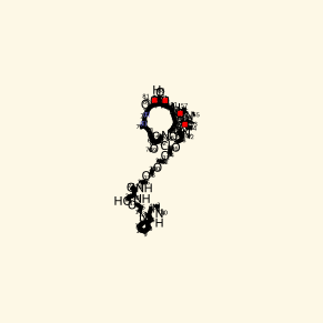 CNN(C)Cc1cc2ccccc2n1CCC(=O)NC(CO)C(=O)NCCOCCOCCOCCOCCC(=O)N(C)C(C)C(=O)O[C@]1(OC(=O)[C@H](C)N(C)C(C)=O)CC(=O)N(C)c2cc(cc(OC)c2Cl)C/C(C)=C/C=C/C(OC)[C@@]2(O)C[C@H](OC(=O)N2)[C@@H](C)[C@@H]2O[C@]21C